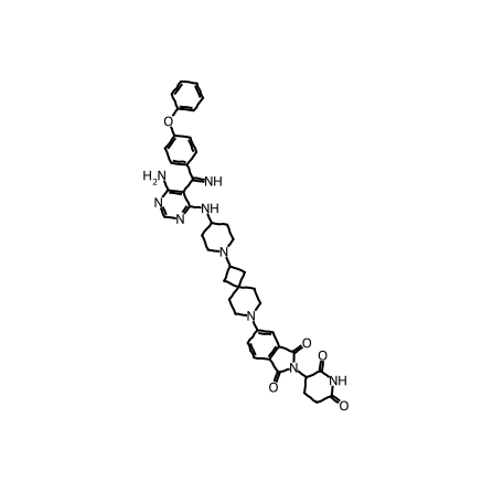 N=C(c1ccc(Oc2ccccc2)cc1)c1c(N)ncnc1NC1CCN(C2CC3(CCN(c4ccc5c(c4)C(=O)N(C4CCC(=O)NC4=O)C5=O)CC3)C2)CC1